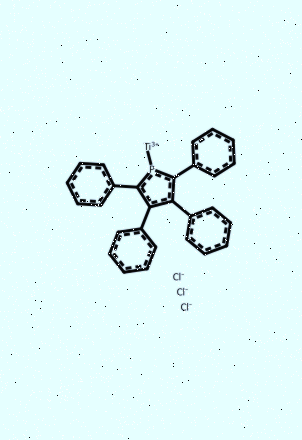 [Cl-].[Cl-].[Cl-].[Ti+3][p]1c(-c2ccccc2)c(-c2ccccc2)c(-c2ccccc2)c1-c1ccccc1